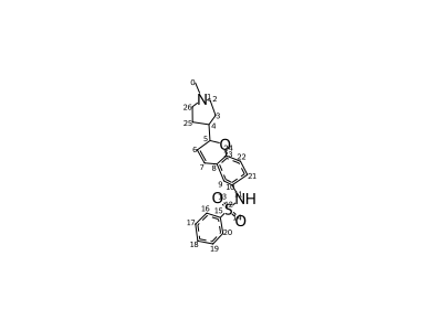 CN1CCC(C2C=Cc3cc(NS(=O)(=O)c4ccccc4)ccc3O2)CC1